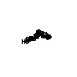 Cc1onc(-c2ccc(Oc3cccc(CC(=O)O)c3)cc2)c1NC(=O)OCCc1ccccc1Cl